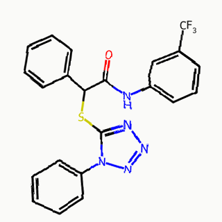 O=C(Nc1cccc(C(F)(F)F)c1)C(Sc1nnnn1-c1ccccc1)c1ccccc1